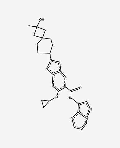 CC1(O)CC2(CCC(n3cc4cc(C(=O)Nc5cnn6cccnc56)c(OC5CC5)cc4n3)CC2)C1